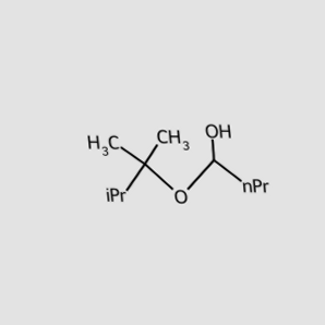 CCCC(O)OC(C)(C)C(C)C